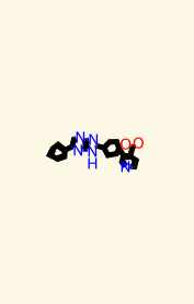 O=C1OC2(CCC(c3nc4ncc(-c5ccccc5)nc4[nH]3)CC2)c2cnccc21